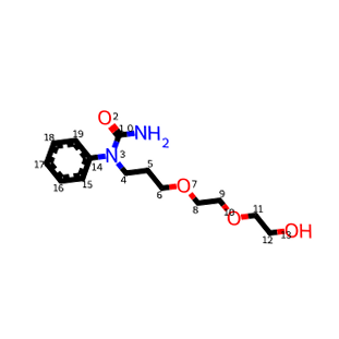 NC(=O)N(CCCOCCOCCO)c1ccccc1